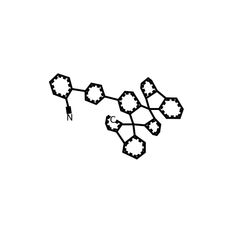 N#Cc1ccccc1-c1ccc(-c2ccc3c(c2)C2(c4ccccc4-c4ccccc42)c2ccccc2C32c3ccccc3-c3ccccc32)cc1